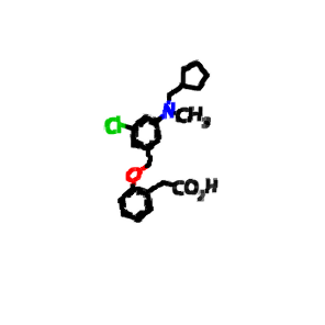 CN(CC1CCCC1)c1cc(Cl)cc(COc2ccccc2CC(=O)O)c1